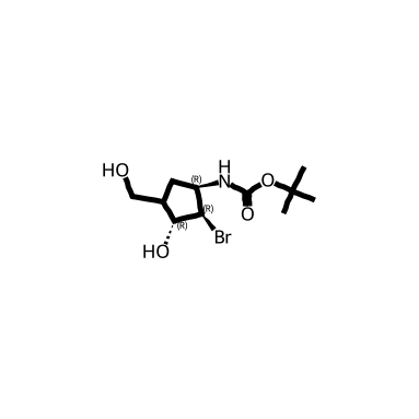 CC(C)(C)OC(=O)N[C@@H]1CC(CO)[C@@H](O)[C@@H]1Br